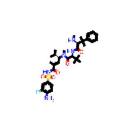 CN[C@H](C(=O)N[C@H](C(=O)N(C)[C@H](/C=C(\C)C(=O)NS(=O)(=O)c1ccc(N)c(F)c1)C(C)C)C(C)(C)C)C(C)(C)c1ccccc1